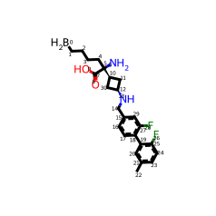 BCCCCC(N)(C(=O)O)[C@H]1C[C@@H](NCc2ccc(-c3cc(C)ccc3F)c(F)c2)C1